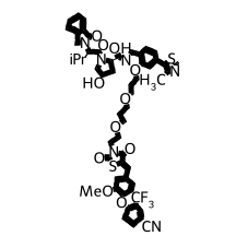 COc1cc(/C=C2\SC(=O)N(CCOCCCOCCCOc3cc(-c4scnc4C)ccc3CNC(=O)[C@@H]3C[C@@H](O)CN3C(=O)[C@H](C(C)C)N3Cc4ccccc4C3=O)C2=O)ccc1Oc1ccc(C#N)cc1C(F)(F)F